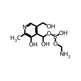 Cc1ncc(CO)c(C(O)OB(O)OCN)c1O